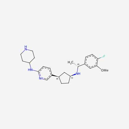 COc1cc([C@@H](C)N[C@H]2CC[C@@H](c3ccc(NC4CCNCC4)nc3)C2)ccc1F